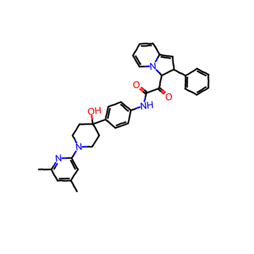 Cc1cc(C)nc(N2CCC(O)(c3ccc(NC(=O)C(=O)C4C(c5ccccc5)C=C5C=CC=CN54)cc3)CC2)c1